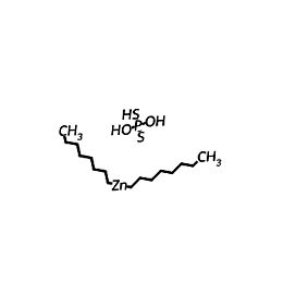 CCCCCCC[CH2][Zn][CH2]CCCCCCC.OP(O)(=S)S